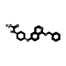 CC(=O)N[C@H]1CC[C@H](Oc2ccc3c(OCc4ccccc4)nccc3c2)CC1